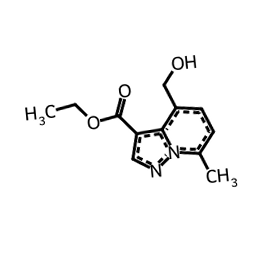 CCOC(=O)c1cnn2c(C)ccc(CO)c12